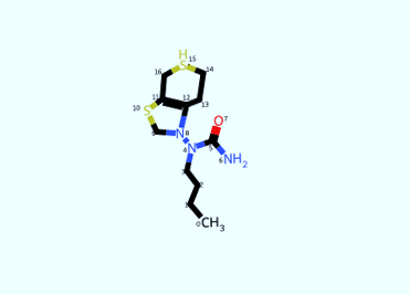 CCCCN(C(N)=O)N1CSC2=C1CC[SH]C2